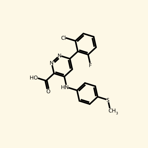 CSc1ccc(Nc2cc(-c3c(F)cccc3Cl)nnc2C(=O)O)cc1